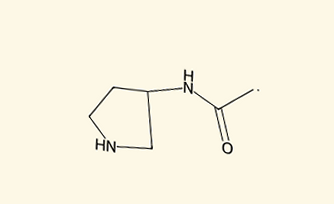 [CH2]C(=O)NC1CCNC1